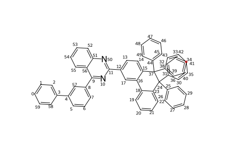 c1ccc(-c2cccc(-c3nc(-c4ccc5c(c4)-c4ccccc4C(c4ccccc4)(c4ccccc4)C5(c4ccccc4)c4ccccc4)nc4ccccc34)c2)cc1